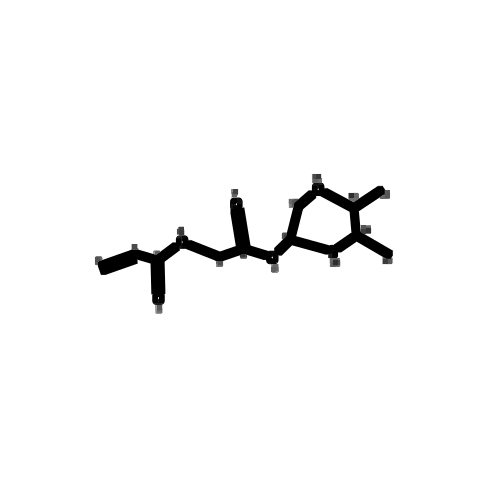 C=CC(=O)OCC(=O)OC1COC(C)C(C)S1